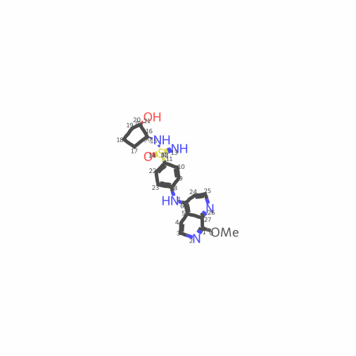 COc1nccc2c(Nc3ccc([S@@](=N)(=O)N[C@@H]4CCC[C@H]4O)cc3)ccnc12